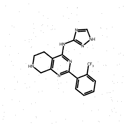 FC(F)(F)c1ccccc1-c1nc2c(c(Nc3nc[nH]n3)n1)CCNC2